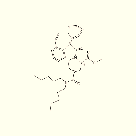 CCCCCN(CCCCC)C(=O)N1CCN(C(=O)N2c3ccccc3C=Cc3ccccc32)[C@H](C(=O)OC)C1